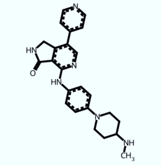 CNC1CCN(c2ccc(Nc3ncc(-c4ccncc4)c4c3C(=O)NC4)cc2)CC1